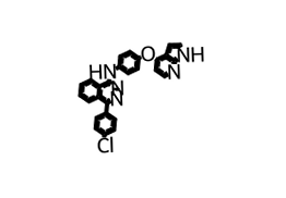 Clc1ccc(-c2nnc(Nc3ccc(Oc4ccnc5[nH]ccc45)cc3)c3ccccc23)cc1